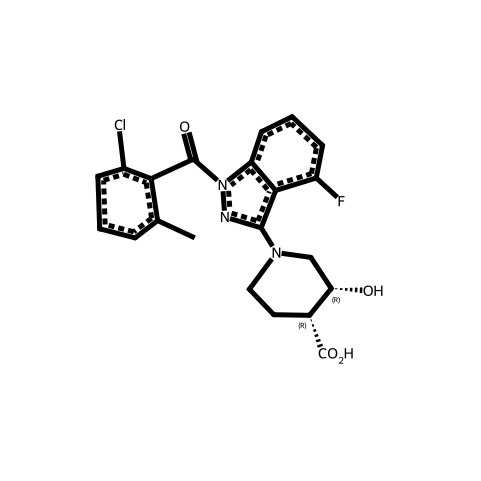 Cc1cccc(Cl)c1C(=O)n1nc(N2CC[C@@H](C(=O)O)[C@@H](O)C2)c2c(F)cccc21